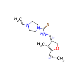 C=CN1CCN(C(=S)N/C=C2/COC(/C=C\C)=C2C)CC1